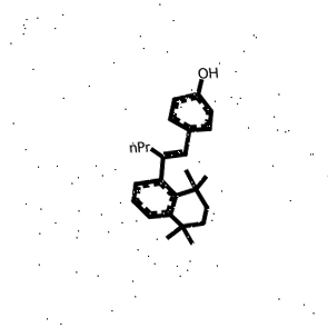 CCCC(=Cc1ccc(O)cc1)c1cccc2c1C(C)(C)CCC2(C)C